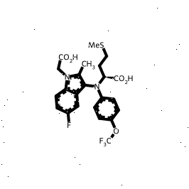 CSCC[C@@H](C(=O)O)N(c1ccc(OC(F)(F)F)cc1)c1c(C)n(CC(=O)O)c2ccc(F)cc12